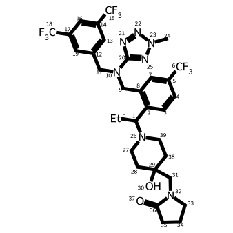 CCC(c1ccc(C(F)(F)F)cc1CN(Cc1cc(C(F)(F)F)cc(C(F)(F)F)c1)c1nnn(C)n1)N1CCC(O)(CN2CCCC2=O)CC1